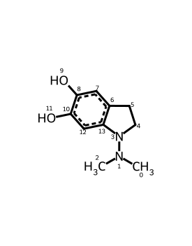 CN(C)N1CCc2cc(O)c(O)cc21